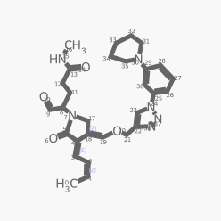 C\C=C/C=C1/C(=O)N(C(C=O)CCC(=O)NC)C/C1=C\OCc1cn(-c2cccc(N3CCCCC3)c2)nn1